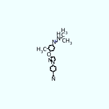 Cc1cc(/N=C/NC(C)C)ccc1Oc1ccn(-c2ccc(C#N)cc2)n1